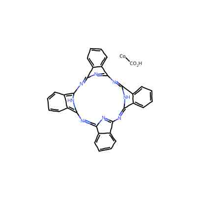 O=[C](O)[Co].c1ccc2c(c1)-c1nc-2nc2[nH]c(nc3nc(nc4[nH]c(n1)c1ccccc41)-c1ccccc1-3)c1ccccc21